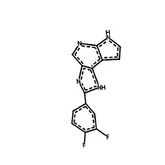 Fc1ccc(-c2nc3cnc4[nH]ccc4c3[nH]2)cc1F